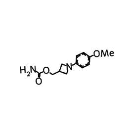 COc1ccc(N2CC(COC(N)=O)C2)cc1